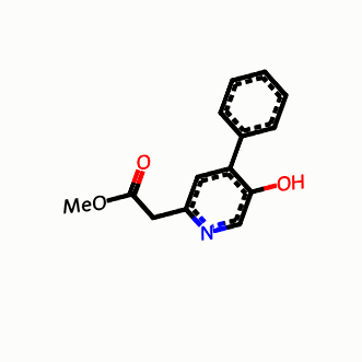 COC(=O)Cc1cc(-c2ccccc2)c(O)cn1